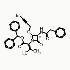 CC(C)=C(C(=O)OC(c1ccccc1)c1ccccc1)N1C(=O)[C@H](NC(=O)Cc2ccccc2)[C@@H]1OCC#CBr